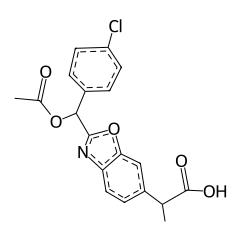 CC(=O)OC(c1ccc(Cl)cc1)c1nc2ccc(C(C)C(=O)O)cc2o1